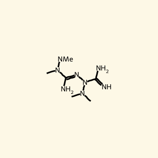 CNN(C)C(N)=NN(C(=N)N)N(C)C